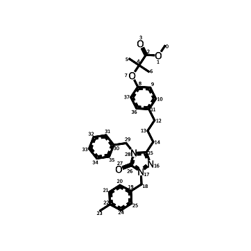 COC(=O)C(C)(C)Oc1ccc(CCCc2nn(Cc3ccc(C)cc3)c(=O)n2Cc2ccccc2)cc1